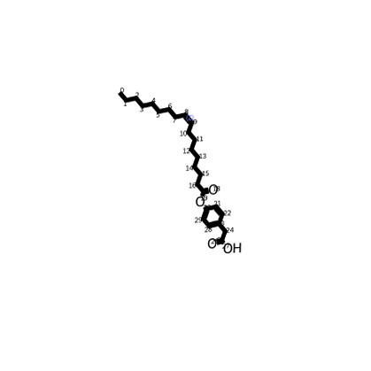 CCCCCCCC/C=C\CCCCCCCC(=O)Oc1ccc(CC(=O)O)cc1